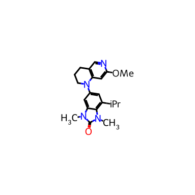 COc1cc2c(cn1)CCCN2c1cc(C(C)C)c2c(c1)n(C)c(=O)n2C